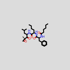 CCCCCC(=O)NC(Cc1ccccc1)C(=O)NC(CCCC)C(=O)NC(CC(C)C)C(=O)[C@@]1(C)CO1